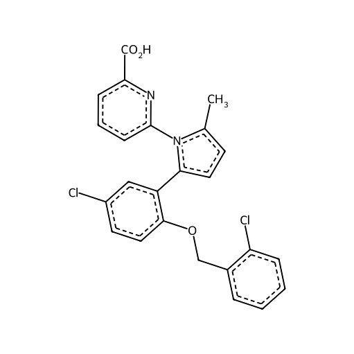 Cc1ccc(-c2cc(Cl)ccc2OCc2ccccc2Cl)n1-c1cccc(C(=O)O)n1